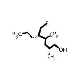 CCC[C@H](CF)C(C)C[C@@H](C)CO